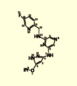 CC(C)Oc1cc(Nc2cncc(NCc3ccc(F)cn3)n2)n[nH]1